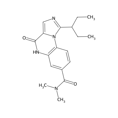 CCC(CC)c1ncc2c(=O)[nH]c3cc(C(=O)N(C)C)ccc3n12